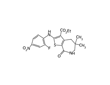 CCOC(=O)c1c(Nc2ccc([N+](=O)[O-])cc2F)sc2c1CC(C)(C)CNC2=O